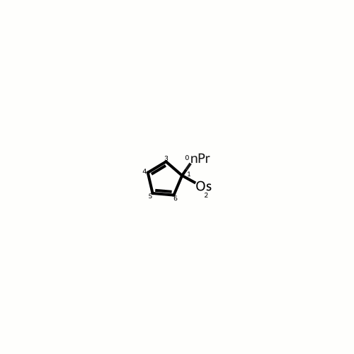 CCC[C]1([Os])C=CC=C1